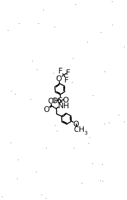 COc1ccc(CC(NS(=O)(=O)c2ccc(OC(F)(F)F)cc2)C(=O)O)cc1